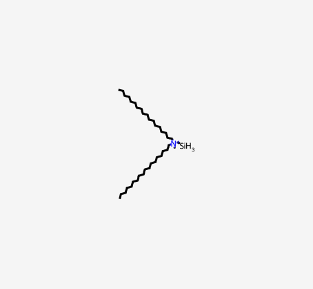 CCCCCCCCCCCCCCCCCC[N+](C)(C[SiH3])CCCCCCCCCCCCCCCCCC